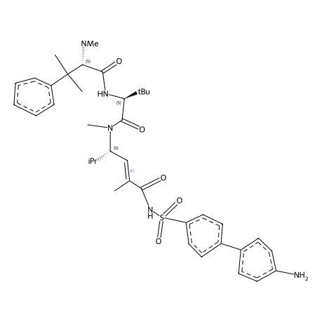 CN[C@H](C(=O)N[C@H](C(=O)N(C)[C@H](/C=C(\C)C(=O)NS(=O)(=O)c1ccc(-c2ccc(N)cc2)cc1)C(C)C)C(C)(C)C)C(C)(C)c1ccccc1